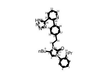 CCCCc1cn(-c2ccccc2CCC)c(=O)n1CCc1ccc(-c2ncccc2-c2nnn[nH]2)cc1